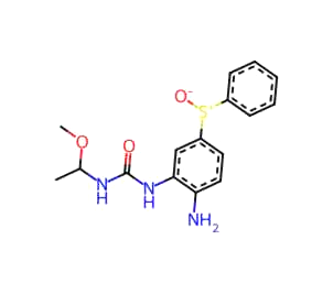 COC(C)NC(=O)Nc1cc([S+]([O-])c2ccccc2)ccc1N